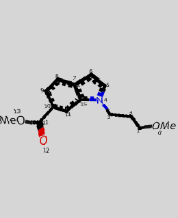 COCCCn1ccc2ccc(C(=O)OC)cc21